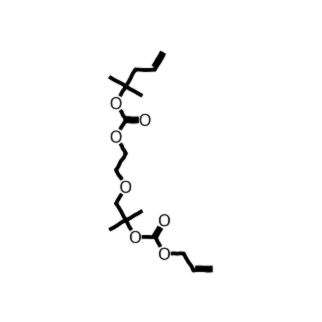 C=CCOC(=O)OC(C)(C)COCCOC(=O)OC(C)(C)CC=C